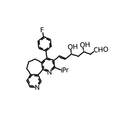 CC(C)c1nc2c(c(-c3ccc(F)cc3)c1/C=C/[C@@H](O)C[C@@H](O)CC=O)CCCc1ccncc1-2